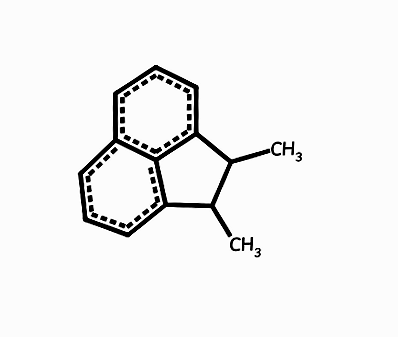 CC1c2cccc3cccc(c23)C1C